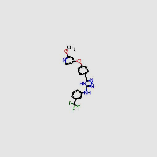 COc1cc(Oc2ccc(-c3nnc(Nc4cccc(C(F)(F)F)c4)[nH]3)cc2)ccn1